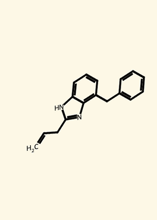 C=CCc1nc2c(Cc3ccccc3)cccc2[nH]1